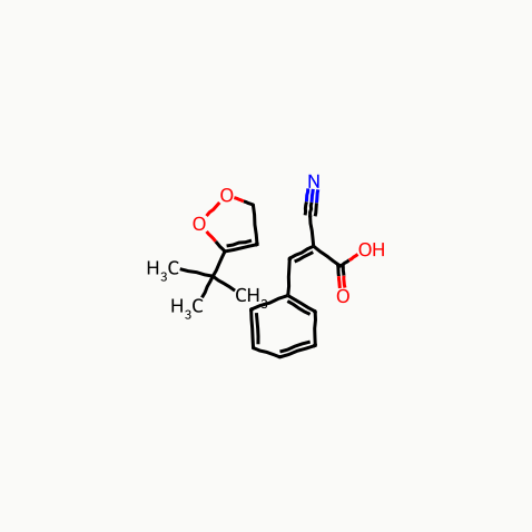 CC(C)(C)C1=CCOO1.N#CC(=Cc1ccccc1)C(=O)O